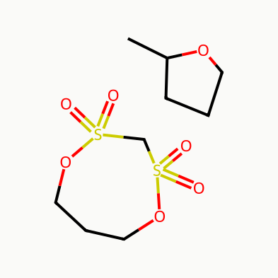 CC1CCCO1.O=S1(=O)CS(=O)(=O)OCCCO1